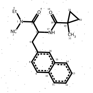 CCN(C#N)C(=O)C(Cc1ccc2ccccc2c1)NC(=O)C1(C)CC1